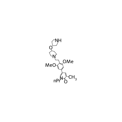 CCCn1cc(-c2cc(OC)c(CCN3CCC(OC4CCNCC4)CC3)c(OC)c2)cc(C)c1=O